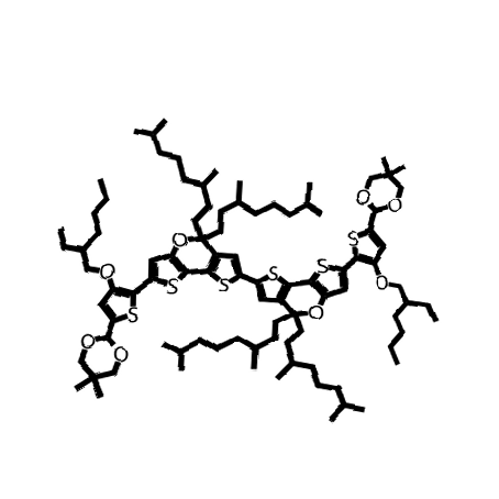 CCCCC(CC)COc1cc(C2OCC(C)(C)CO2)sc1-c1cc2c(s1)-c1sc(-c3cc4c(s3)-c3sc(-c5sc(C6OCC(C)(C)CO6)cc5OCC(CC)CCCC)cc3OC4(CCC(C)CCCC(C)C)CCC(C)CCCC(C)C)cc1C(CCC(C)CCCC(C)C)(CCC(C)CCCC(C)C)O2